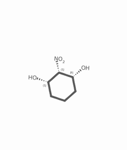 O=[N+]([O-])[C@@H]1[C@H](O)CCC[C@@H]1O